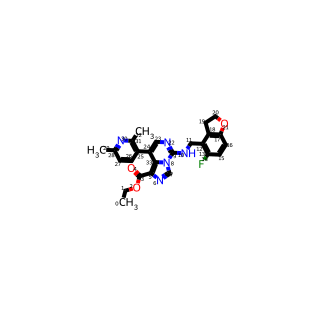 CCOC(=O)c1ncn2c(NCc3c(F)ccc4c3CCO4)ncc(-c3ccc(C)nc3C)c12